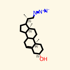 C[C@H](CN=[N+]=[N-])C1CCC2C3CC=C4C[C@@H](O)CC[C@]4(C)C3CC[C@@]21C